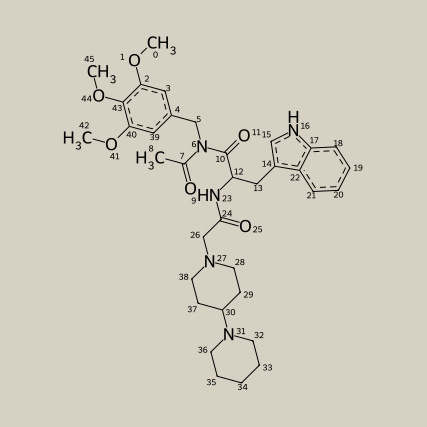 COc1cc(CN(C(C)=O)C(=O)C(Cc2c[nH]c3ccccc23)NC(=O)CN2CCC(N3CCCCC3)CC2)cc(OC)c1OC